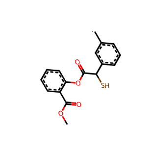 [CH2]c1cccc(C(S)C(=O)Oc2ccccc2C(=O)OC)c1